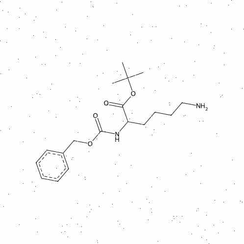 CC(C)(C)OC(=O)C(CCCCN)NC(=O)OCc1ccccc1